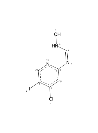 ON/C=N\c1cc(Cl)c(I)cn1